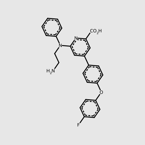 NCCN(c1ccccc1)c1cc(-c2ccc(Oc3ccc(F)cc3)cc2)cc(C(=O)O)n1